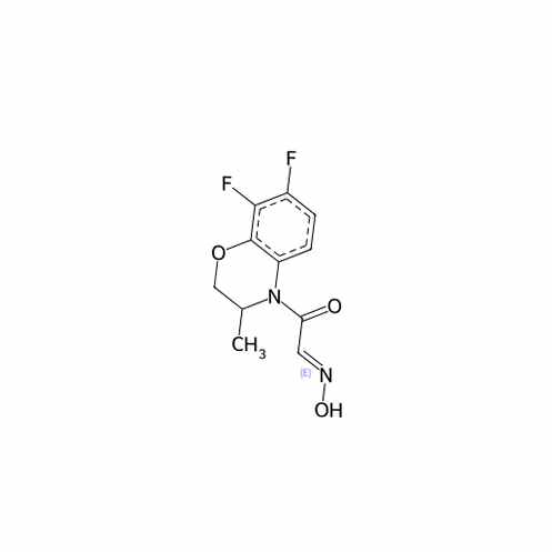 CC1COc2c(ccc(F)c2F)N1C(=O)/C=N/O